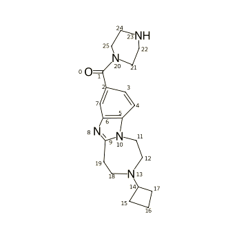 O=C(c1ccc2c(c1)nc1n2CCN(C2CCC2)CC1)N1CCNCC1